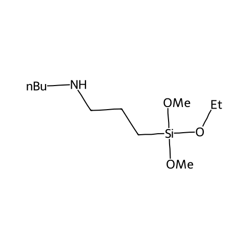 CCCCNCCC[Si](OC)(OC)OCC